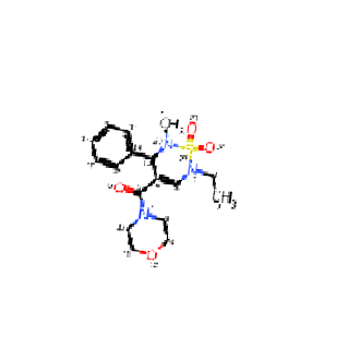 CCN1C=C(C(=O)N2CCOCC2)C(c2ccccc2)N(C)S1(=O)=O